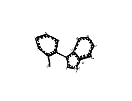 Cc1ccccc1-c1c[nH]c2ccccc12